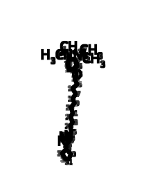 CC(C)n1c[n+](C(C)C)c2ccc(OCCCCCCCCCCCCn3cc(C4CCCC4)nn3)cc21